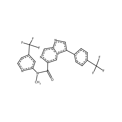 CN(C(=O)c1cn2c(-c3ccc(C(F)(F)F)cc3)cnc2cn1)c1cc(C(F)(F)F)ccn1